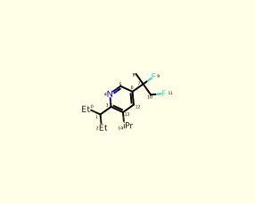 CCC(CC)c1ncc(C(C)(F)CF)cc1C(C)C